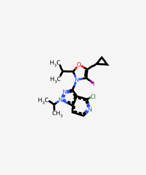 CC(C)C1OC(C2CC2)=C(I)N1c1nn(C(C)C)c2ccnc(Cl)c12